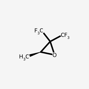 C[C@@H]1OC1(C(F)(F)F)C(F)(F)F